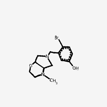 CN1CCOC2CN(Cc3cc(O)ccc3Br)CC21